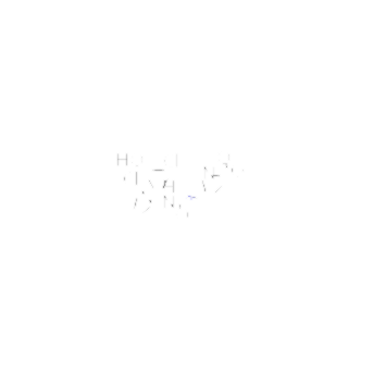 CCOC(=O)c1ccc(/C=C/C(=O)NCc2cccn2-c2ccc(Cl)c(CO)c2Cl)cn1